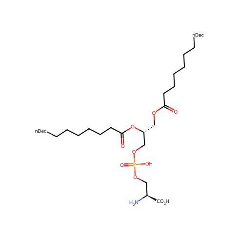 CCCCCCCCCCCCCCCCC(=O)OC[C@H](COP(=O)(O)OC[C@H](N)C(=O)O)OC(=O)CCCCCCCCCCCCCCCC